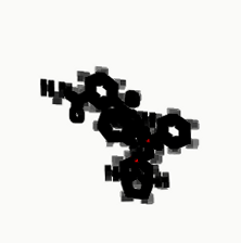 Cc1nc2ccccc2n1C1C[C@H]2CC[C@@H](C1)N2CCC(CNS(=O)(=O)c1cccc(C(N)=O)c1)c1ccccc1